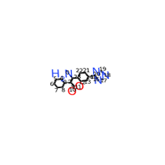 Nc1c(-c2ccccc2)c(=O)oc2cc(-c3ncncn3)ccc12